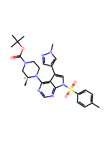 Cc1ccc(S(=O)(=O)n2cc(-c3cnn(C)c3)c3c(N4CCN(C(=O)OC(C)(C)C)C[C@@H]4C)ncnc32)cc1